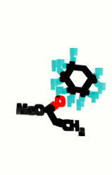 C=CC(=O)OC.FC1(F)CC(F)(F)C(F)(F)C(F)(F)C1(F)F